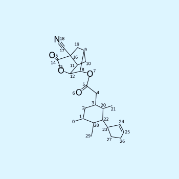 CC1CC(CC(=O)OC2C3CC4C2OC(=O)C4(C#N)C3)C(C)C(C2C=CCC2)C1C